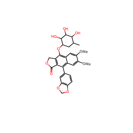 COc1cc2c(OC3CC(C)C(O)C(O)C3O)c3c(c(-c4ccc5c(c4)OCO5)c2cc1OC)C(=O)OC3